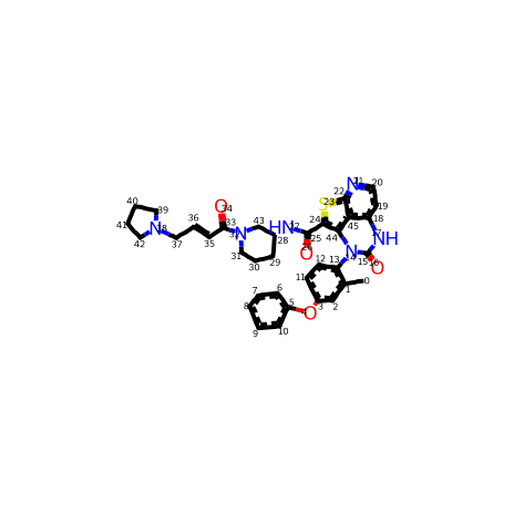 Cc1cc(Oc2ccccc2)ccc1N1C(=O)Nc2ccnc3sc(C(=O)NC4CCCN(C(=O)C=CCN5CCCC5)C4)c1c23